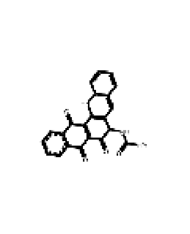 CCCC(=O)NC1C(=O)C2=C(C(=O)c3ccccc3C2=O)C2=C1C=C1C=CC=CC1N2